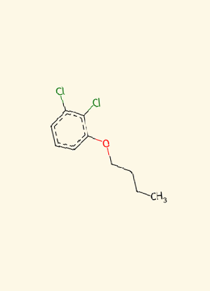 CCCCOc1cccc(Cl)c1Cl